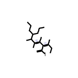 C=C(I)C(=C(/C)CC)/C(C)=C(\C)C(C)C(CCC)CCC